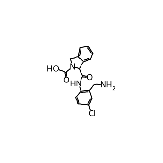 NCc1cc(Cl)ccc1NC(=O)C1c2ccccc2CN1C(=O)O